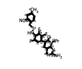 Cc1ccc(CSNc2c(F)cc(-c3cc4cnc(N)nc4n(C(C)C)c3=O)c(F)c2F)c(C#N)c1